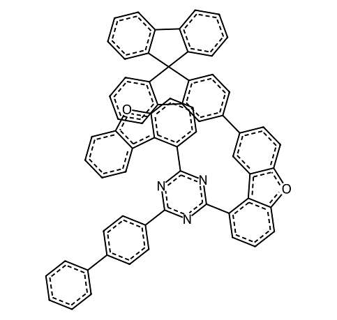 c1ccc(-c2ccc(-c3nc(-c4cccc5oc6ccccc6c45)nc(-c4cccc5oc6ccc(-c7ccc8c(c7)-c7ccccc7C87c8ccccc8-c8ccccc87)cc6c45)n3)cc2)cc1